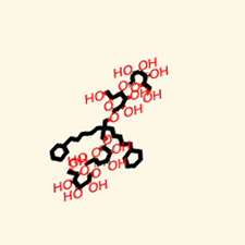 OCC1O[C@H](O[C@@H]2C(CO)O[C@@H](OCC(CCCCCC3CCCCC3)(CCCCCC3CCCCC3)CO[C@@H]3OC(CO)[C@@H](O[C@@H]4OC(CO)[C@@H](O)[C@H](O)C4O)[C@H](O)C3O)C(O)C2O)C(O)C(O)[C@@H]1O